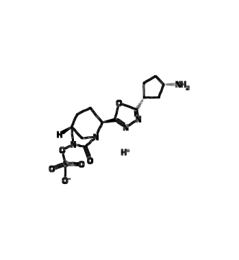 N[C@H]1CC[C@@H](c2nnc([C@@H]3CC[C@@H]4CN3C(=O)N4OS(=O)(=O)[O-])o2)C1.[H+]